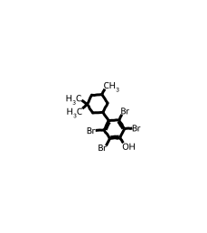 CC1CC(c2c(Br)c(Br)c(O)c(Br)c2Br)CC(C)(C)C1